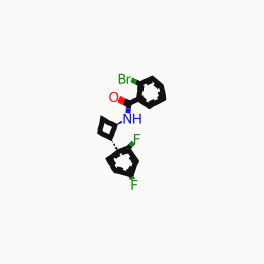 O=C(N[C@H]1CC[C@H]1c1ccc(F)cc1F)c1ccccc1Br